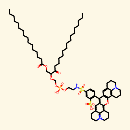 CCCCCCCCCCCCCCCC(=O)OCC(OCOP(=O)(O)OCCNS(=O)(=O)c1ccc(C2=c3cc4c5c(c3Oc3c2cc2c6c3CCCN6CCC2)CCC[N+]=5CCC4)c(S(=O)(=O)O)c1)C(=O)CCCCCCCCCCCCCCC